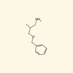 CC(CN)COCc1ccccc1